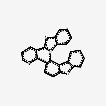 c1ccc2c(c1)nc1c3cccnc3c3ccc4oc5ccccc5c4c3n21